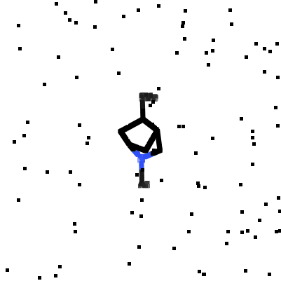 CSC1CC2CC1CN2C(C)=O